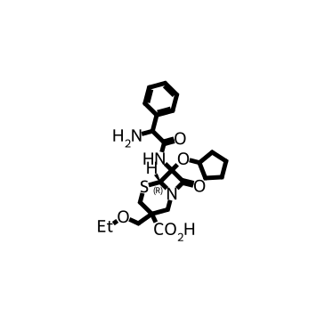 CCOCC1(C(=O)O)CS[C@H]2N(C1)C(=O)C2(NC(=O)C(N)c1ccccc1)OC1CCCC1